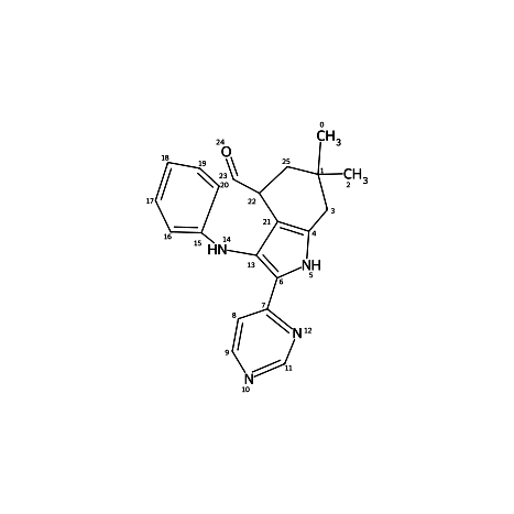 CC1(C)Cc2[nH]c(-c3ccncn3)c(Nc3ccccc3)c2C(C=O)C1